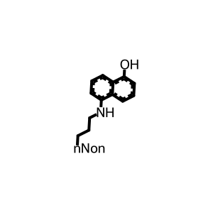 CCCCCCCCCCCCNc1cccc2c(O)cccc12